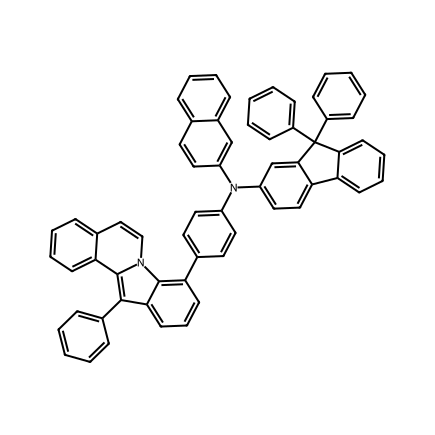 c1ccc(-c2c3cccc(-c4ccc(N(c5ccc6c(c5)C(c5ccccc5)(c5ccccc5)c5ccccc5-6)c5ccc6ccccc6c5)cc4)c3n3ccc4ccccc4c23)cc1